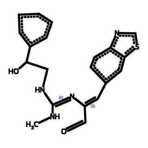 CN/C(=N\C(C=O)=C/c1ccc2ncsc2c1)NCC(O)c1ccccc1